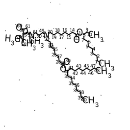 CCCCCCCCC(CC)OC(=O)CCCCCCCN(CCCCCCCC(=O)OC(CCCCCCCC)CCCCCCCC)CCCN(C)C1=C(N(C)C)C(=O)C1